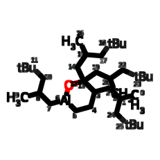 CC(CC1C[CH2][Al]([CH2]C(C)CC(C)(C)C)[O]C1(CC(C)CC(C)(C)C)CC(C)CC(C)(C)C)CC(C)(C)C